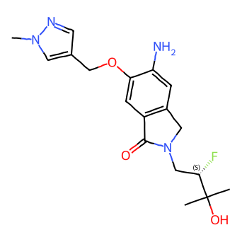 Cn1cc(COc2cc3c(cc2N)CN(C[C@H](F)C(C)(C)O)C3=O)cn1